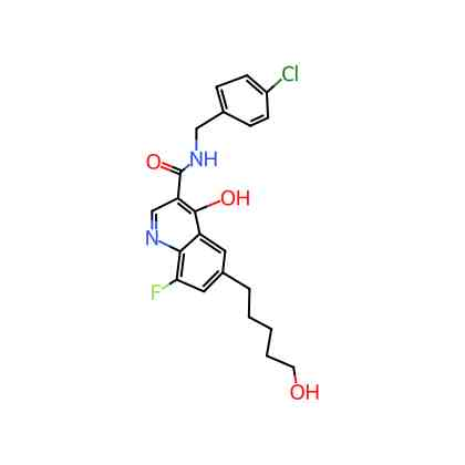 O=C(NCc1ccc(Cl)cc1)c1cnc2c(F)cc(CCCCCO)cc2c1O